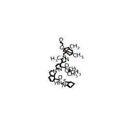 Cc1c(-c2ccc(N3CCc4cccc(C(=O)Nc5nc6ccccc6s5)c4C3)nc2C(=O)OC(C)(C)C)cnn1CC12CC3(C)CC(C)(C1)CC(OCC=O)(C3)C2